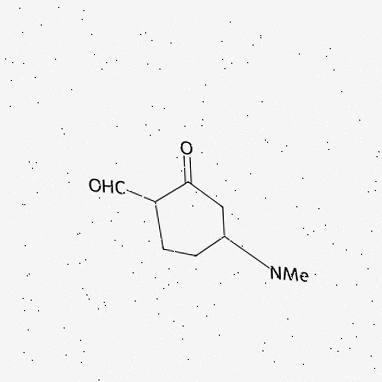 CNC1CCC(C=O)C(=O)C1